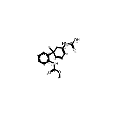 COC(=O)Nc1ccccc1C1(C)C=CC=C(NC(=O)O)C1